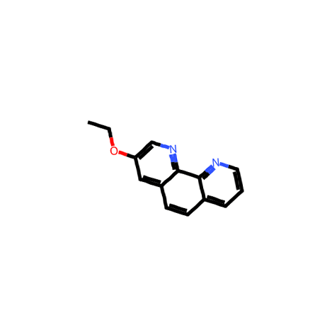 CCOc1cnc2c(ccc3cccnc32)c1